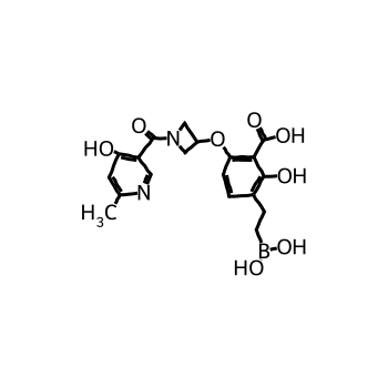 Cc1cc(O)c(C(=O)N2CC(Oc3ccc(CCB(O)O)c(O)c3C(=O)O)C2)cn1